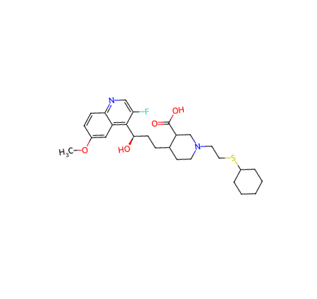 COc1ccc2ncc(F)c([C@H](O)CCC3CCN(CCSC4CCCCC4)CC3C(=O)O)c2c1